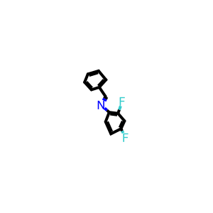 Fc1ccc(N=Cc2ccccc2)c(F)c1